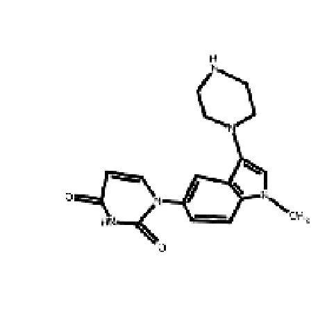 Cn1cc(N2CCNCC2)c2cc(-n3ccc(=O)[nH]c3=O)ccc21